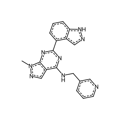 Cn1ncc2c(NCc3cccnc3)nc(-c3cccc4[nH]ncc34)nc21